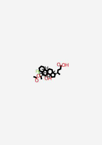 CC(=O)OC(C)[C@H]1[C@@H](O)[C@@H]2[C@H](CC[C@]3(C)[C@@H](C(C)CCC(=O)O)CC[C@@H]23)[C@@]2(C)CCCC(F)(F)[C@@H]12